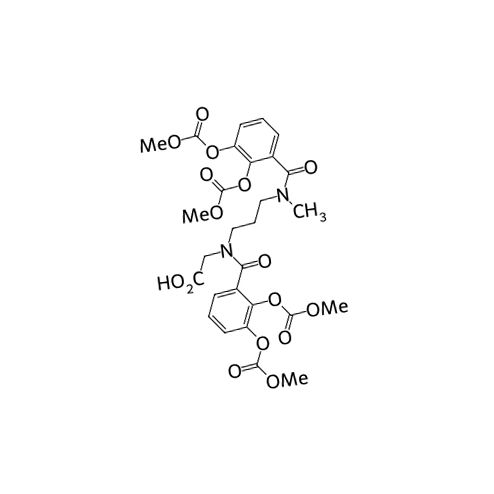 COC(=O)Oc1cccc(C(=O)N(C)CCCN(CC(=O)O)C(=O)c2cccc(OC(=O)OC)c2OC(=O)OC)c1OC(=O)OC